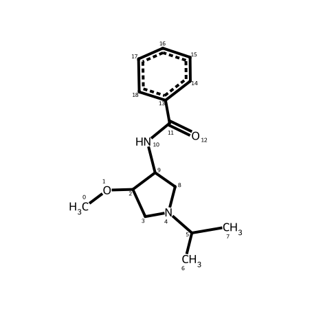 COC1CN(C(C)C)CC1NC(=O)c1ccccc1